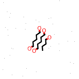 CCCC=O.O=CCCCC=O.O=CCCCC=O